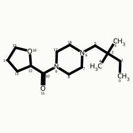 CCC(C)(C)CN1CCN(C(=O)C2CCCO2)CC1